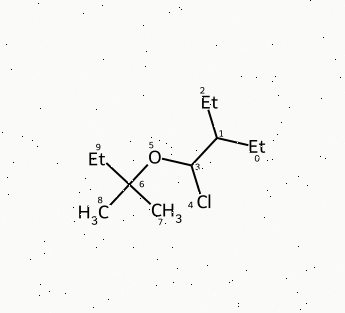 CCC(CC)C(Cl)OC(C)(C)CC